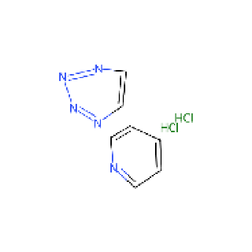 Cl.Cl.c1ccncc1.c1cnnnn1